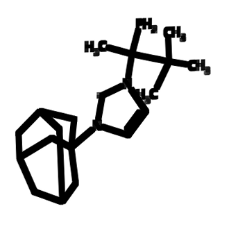 CC(C)(C)C(C)(P)N1[C]N(C23CC4CC(CC(C4)C2)C3)C=C1